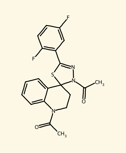 CC(=O)N1CCC2(SC(c3cc(F)ccc3F)=NN2C(C)=O)c2ccccc21